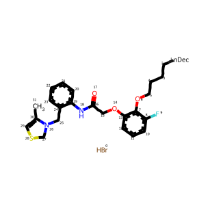 Br.CCCCCCCCCCCCCCOc1c(F)cccc1OCC(=O)Nc1ccccc1CN1CSC=C1C